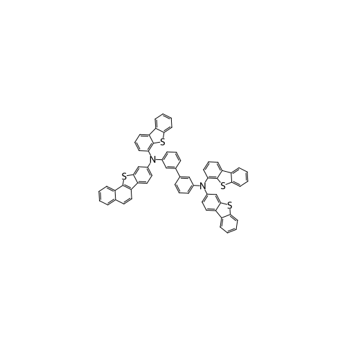 c1cc(-c2cccc(N(c3ccc4c(c3)sc3c5ccccc5ccc43)c3cccc4c3sc3ccccc34)c2)cc(N(c2ccc3c(c2)sc2ccccc23)c2cccc3c2sc2ccccc23)c1